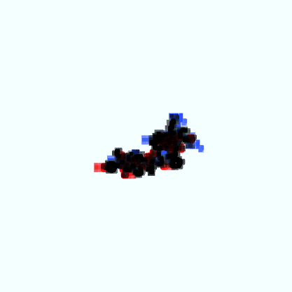 C/C=C\c1c(CC(NC(=O)[C@@H]2C[C@@H](O)CN2C(=O)[C@H](CC(C)C)NC(=O)[C@H](Cc2c[nH]cn2)NC(=O)[C@@H]2CCCN2C(=O)[C@H](CC(=O)O)NC(=O)[C@H](C)N(C)C(=O)[C@H](Cc2ccc(O)cc2)NC(=O)CC)C(=O)N[C@@H](CO)C(=O)N[C@@H](CC2=CCNC3=C2C=C=CC=C3)C(=O)N(C)[C@@H](CCCC)C(=O)N(C)[C@@H](CCCC)C(=O)N[C@@H](CCCCN)C(=O)N[C@@H](CC)C(=O)NCC(N)=O)c[nH]c1C